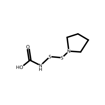 O=C(O)NSSN1CCCC1